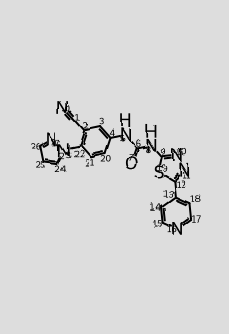 N#Cc1cc(NC(=O)Nc2nnc(-c3ccncc3)s2)ccc1-n1cccn1